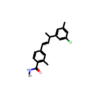 Cc1cc(Cl)cc(C(C)/C=C/c2ccc(C(=O)NC(C)C)c(C)c2)c1